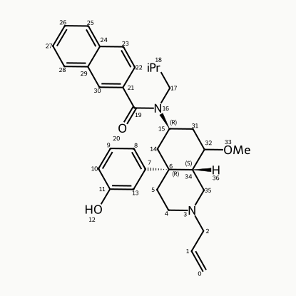 C=CCN1CC[C@@]2(c3cccc(O)c3)C[C@@H](N(CC(C)C)C(=O)c3ccc4ccccc4c3)CC(OC)[C@@H]2C1